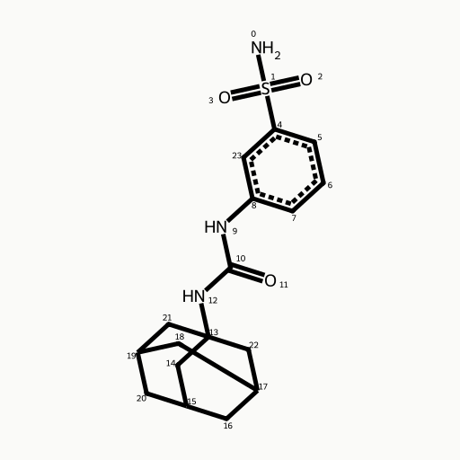 NS(=O)(=O)c1cccc(NC(=O)NC23CC4CC(CC(C4)C2)C3)c1